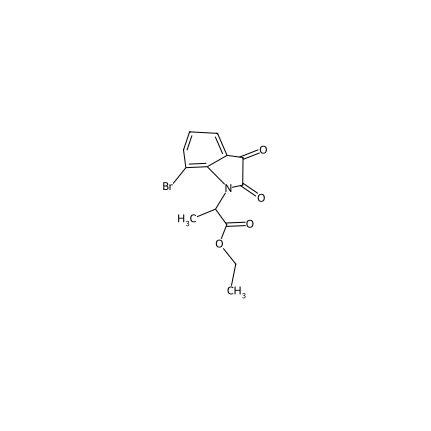 CCOC(=O)C(C)N1C(=O)C(=O)c2cccc(Br)c21